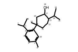 Cc1ccc(C(C)C)c(C2(C)CCC(C(C)C)C(O)C2)c1